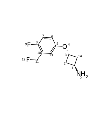 N[C@H]1C[C@H](Oc2ccc(F)c(CF)c2)C1